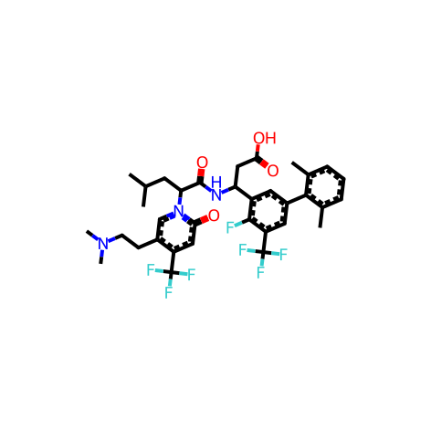 Cc1cccc(C)c1-c1cc(C(CC(=O)O)NC(=O)C(CC(C)C)n2cc(CCN(C)C)c(C(F)(F)F)cc2=O)c(F)c(C(F)(F)F)c1